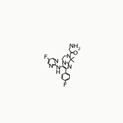 CC1(C)c2nc(-c3ccc(F)cc3)c(Nc3ncc(F)cn3)n2CCN1C(=O)CN